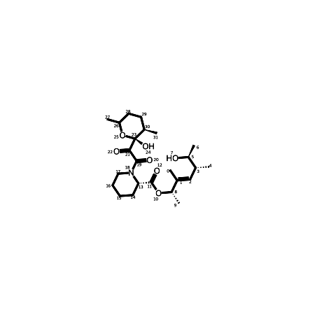 C/C(=C\[C@@H](C)[C@H](C)O)[C@H](C)OC(=O)[C@@H]1CCCCN1C(=O)C(=O)[C@]1(O)OC(C)CC[C@H]1C